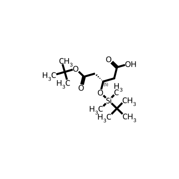 CC(C)(C)OC(=O)C[C@H](CC(=O)O)O[Si](C)(C)C(C)(C)C